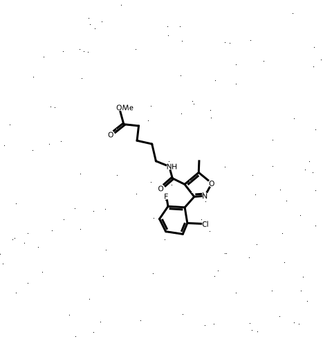 COC(=O)CCCCNC(=O)c1c(-c2c(F)cccc2Cl)noc1C